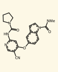 CNC(=O)n1ccc2cc(Oc3cc(NC(=O)N4CCCC4)ncc3C#N)ccc21